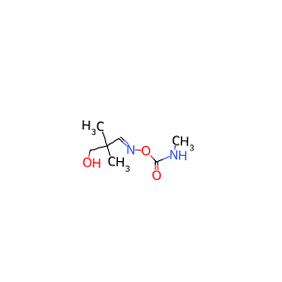 CNC(=O)ON=CC(C)(C)CO